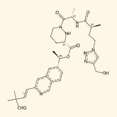 C[C@H](NC(=O)[C@@H](C)CCn1cc(CO)nn1)C(=O)N1CCC[C@@H](C(=O)O[C@H](C)c2ccc3cnc(/C=C/C(C)(C)C=O)cc3c2)N1